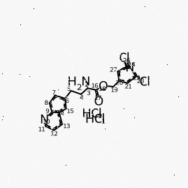 Cl.Cl.N[C@@H](CCc1ccc2ncccc2c1)C(=O)OCc1cc(Cl)nc(Cl)c1